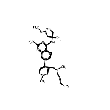 CCCCN(C)CC1=CN(C)CC=C1c1ccc2c(NC(C)(CO)CCCC)nc(N)nc2c1